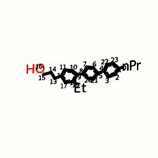 CCCc1ccc(-c2ccc(-c3ccc(CCCO)cc3CC)cc2)cc1